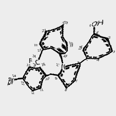 Oc1cccc(-c2ccc(-c3ccc(Br)cc3)n2-c2ccccc2C(F)(F)F)c1